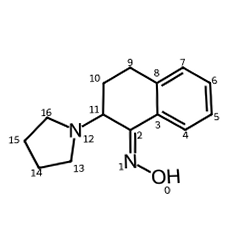 ON=C1c2ccccc2CCC1N1CCCC1